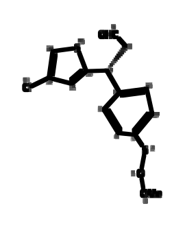 COOSc1ccc([C@@H](CC=O)c2cc(Cl)cs2)cc1